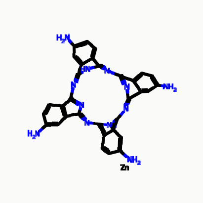 Nc1ccc2c(c1)-c1nc-2nc2[nH]c(nc3nc(nc4[nH]c(n1)c1ccc(N)cc41)-c1cc(N)ccc1-3)c1ccc(N)cc21.[Zn]